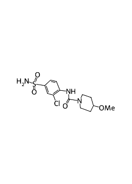 COC1CCN(C(=O)Nc2ccc(S(N)(=O)=O)cc2Cl)CC1